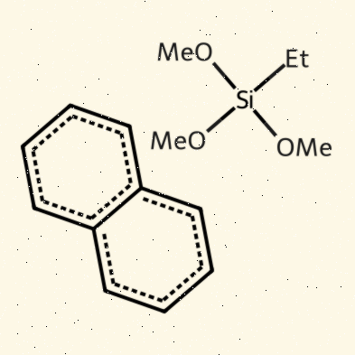 CC[Si](OC)(OC)OC.c1ccc2ccccc2c1